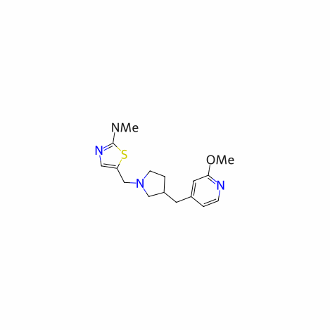 CNc1ncc(CN2CCC(Cc3ccnc(OC)c3)C2)s1